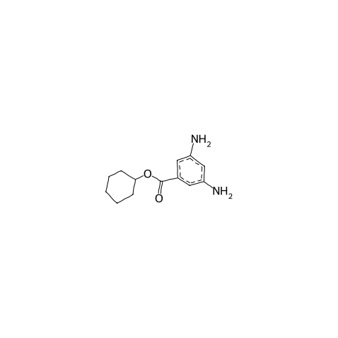 Nc1cc(N)cc(C(=O)OC2CCCCC2)c1